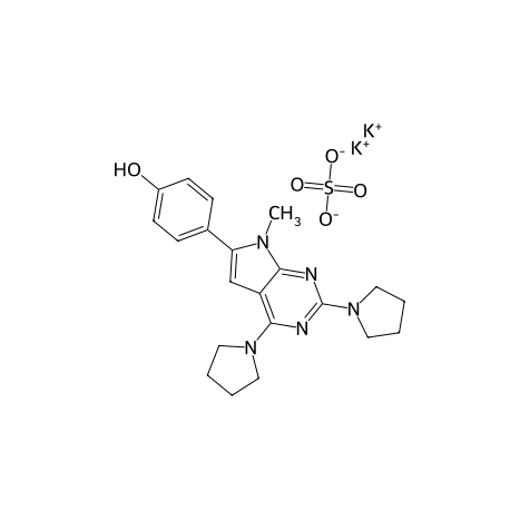 Cn1c(-c2ccc(O)cc2)cc2c(N3CCCC3)nc(N3CCCC3)nc21.O=S(=O)([O-])[O-].[K+].[K+]